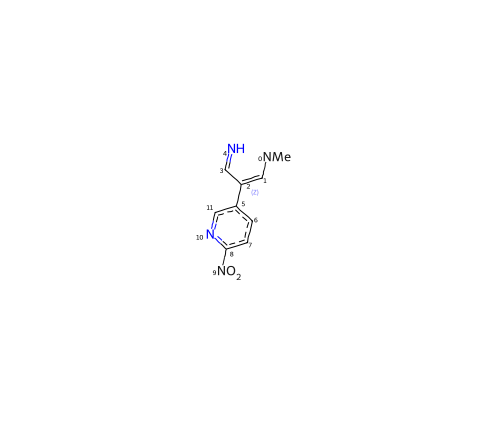 CN/C=C(\C=N)c1ccc([N+](=O)[O-])nc1